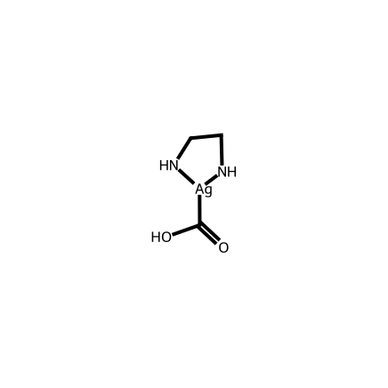 O=[C](O)[Ag]1[NH]CC[NH]1